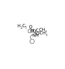 C=CC[C@H]1C[C@@H](C(CC2CCCCC2)NC(=O)OC(C)(C)C)OC1=O